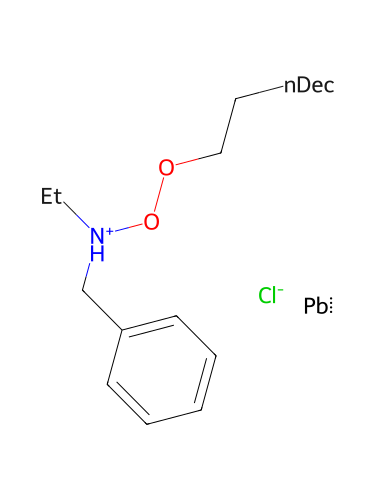 CCCCCCCCCCCCOO[NH+](CC)Cc1ccccc1.[Cl-].[Pb]